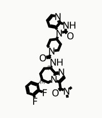 CN(C)C(=O)c1cnc2n1C[C@H](c1cccc(F)c1F)CC[C@H]2NC(=O)N1CCC(n2c(=O)[nH]c3ncccc32)CC1